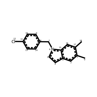 Cc1cc2ccn(Cc3ccc(Cl)cc3)c2cc1C